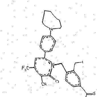 CC(=S)c1ccc(Cn2c(-c3ccc(N4CCCCC4)cc3)cc(C(F)(F)F)c(C#N)c2=O)c(CI)c1